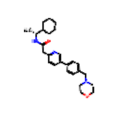 C[C@@H](NC(=O)Cc1ccc(-c2ccc(CN3CCOCC3)cc2)cn1)C1CCCCC1